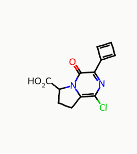 O=C(O)C1CCc2c(Cl)nc(C3=CC=C3)c(=O)n21